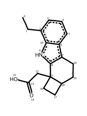 CCc1cccc2c3c([nH]c12)C1(CC(=O)O)CCC1CC3